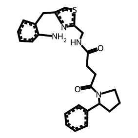 Nc1ccccc1Cc1csc(CNC(=O)CCC(=O)N2CCCC2c2ccccc2)n1